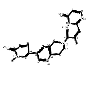 Cc1cc2nccc(=O)n2nc1N1CCc2ncc(-c3ccc(=O)n(C)c3)cc2C1